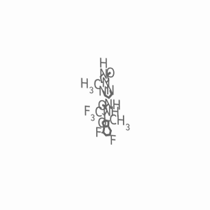 Cc1c([C@H](NC(=O)Nc2cnc(N3CC(=O)NC[C@@H]3C)nc2)C(F)(F)F)oc2c(F)cc(F)cc12